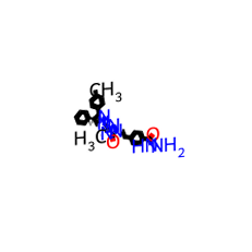 Cc1ccc(C2=NN(c3nn(CCc4ccc(C(=O)NN)cc4)c(=O)n3C)C[C@H]2c2ccccc2)cc1